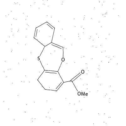 COC(=O)C1=CCCC2=C1OC=C1C=CC=CC1S2